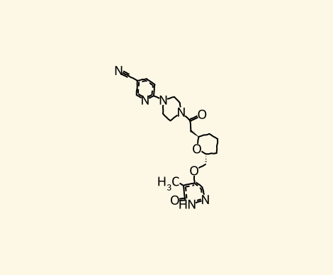 Cc1c(OC[C@H]2CCC[C@H](CC(=O)N3CCN(c4ccc(C#N)cn4)CC3)O2)cn[nH]c1=O